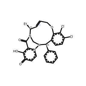 CC[C@H]1/C=C/COc2c(ccc(Cl)c2Cl)[C@@H](c2ccccc2)N2CN1C(=O)c1c(O)c(=O)ccn12